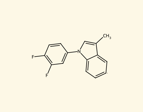 Cc1cn(-c2ccc(F)c(F)c2)c2cc[c]cc12